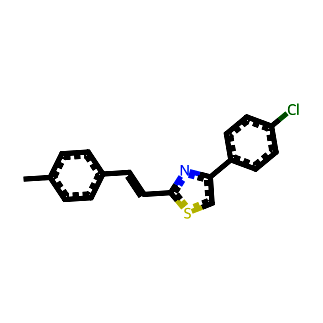 Cc1ccc(/C=C/c2nc(-c3ccc(Cl)cc3)cs2)cc1